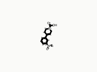 O=C(O)N1CC=C(c2cccc([N+](=O)[O-])c2)CC1